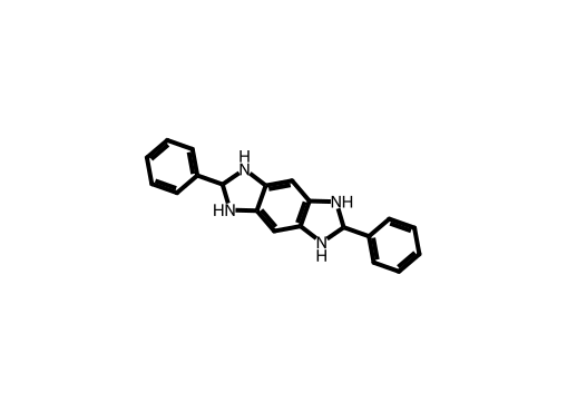 c1ccc(C2Nc3cc4c(cc3N2)NC(c2ccccc2)N4)cc1